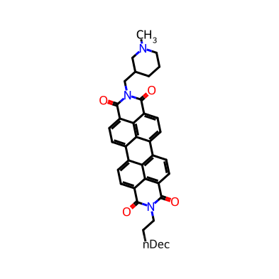 CCCCCCCCCCCCN1C(=O)c2ccc3c4ccc5c6c(ccc(c7ccc(c2c37)C1=O)c64)C(=O)N(CC1CCCN(C)C1)C5=O